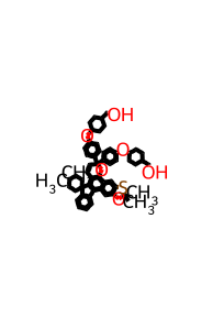 CC1(C)CCC2(CC1)c1ccccc1-c1c2c2c(c3cc4c(cc13)OC(C)(C)S4)OC(c1ccc(OC3CCC(CO)CC3)cc1)(c1ccc(OC3CCC(CO)CC3)cc1)C=C2